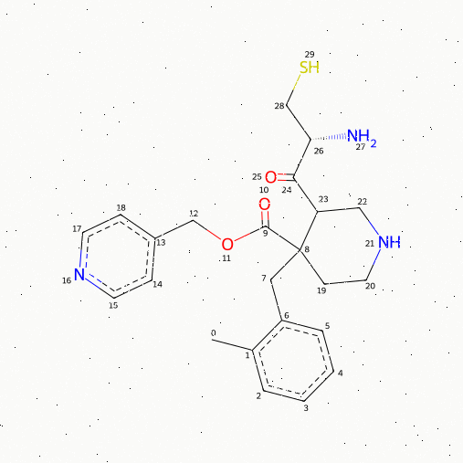 Cc1ccccc1CC1(C(=O)OCc2ccncc2)CCNCC1C(=O)[C@@H](N)CS